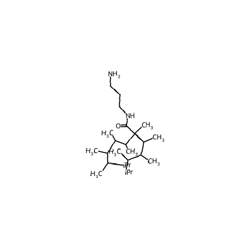 CC(C)C(C)C(C)C(C)C(C)C(C)(C(=O)NCCCN)C(C)C(C)C(C)C(C)C